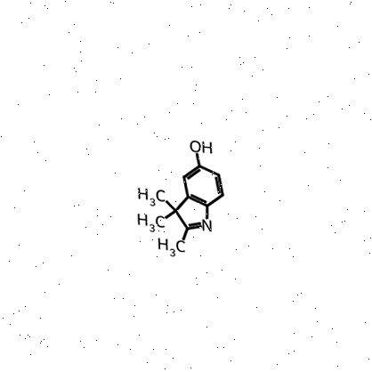 CC1=Nc2ccc(O)cc2C1(C)C